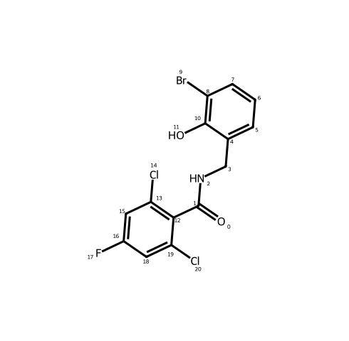 O=C(NCc1cccc(Br)c1O)c1c(Cl)cc(F)cc1Cl